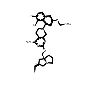 CCc1c(F)ccc2cc(OCOC)cc(N3CCc4c(nc(OC[C@@]56CCCN5C/C(=C\F)C6)nc4OC)C3)c12